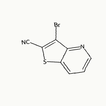 N#Cc1sc2cccnc2c1Br